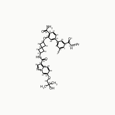 CCCNC(=O)c1cc(F)cc(-c2ccc(C(N)=O)c(OC3CC4(CC(NC(=O)c5cnn6cc(OCC(C)(C)O)ccc56)C4)C3)c2)c1